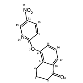 O=C1CCCc2c(Oc3ccc([N+](=O)[O-])cn3)cccc21